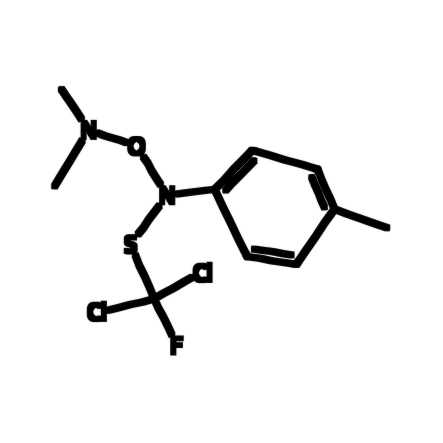 Cc1ccc(N(ON(C)C)SC(F)(Cl)Cl)cc1